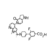 C[C@H](c1cc2c(-n3ccc4c(c3=O)CCN4)ccnc2n1C)N1CC=C(c2c(F)cc(C(=O)O)cc2F)CC1